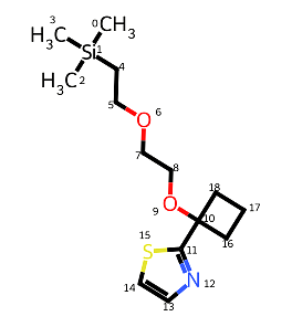 C[Si](C)(C)CCOCCOC1(c2nccs2)CCC1